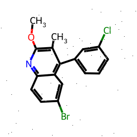 COc1nc2ccc(Br)cc2c(-c2cccc(Cl)c2)c1C